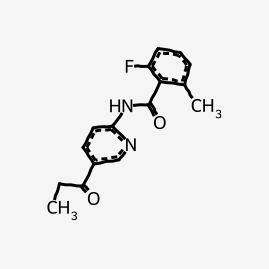 CCC(=O)c1ccc(NC(=O)c2c(C)cccc2F)nc1